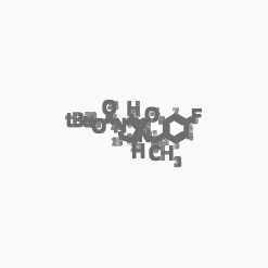 C[C@@H](c1ccc(F)cc1)N1C(=O)[C@@H]2C[C@H]1CN2C(=O)OC(C)(C)C